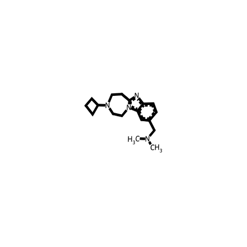 CN(C)Cc1ccc2nc3n(c2c1)CCN(C1CCC1)CC3